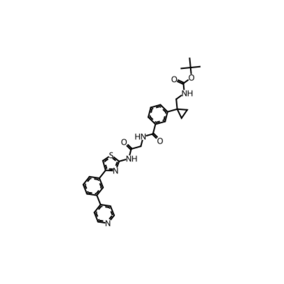 CC(C)(C)OC(=O)NCC1(c2cccc(C(=O)NCC(=O)Nc3nc(-c4cccc(-c5ccncc5)c4)cs3)c2)CC1